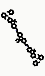 CCC1(CC)c2cc(/C=C/c3ccc4c(c3)C(C)(C)c3cc(N(c5ccccc5C)c5ccccc5C)ccc3-4)ccc2-c2ccc(/C=C/c3ccc4c(c3)C(C)(C)c3cc(N(c5ccccc5C)c5ccccc5C)ccc3-4)cc21